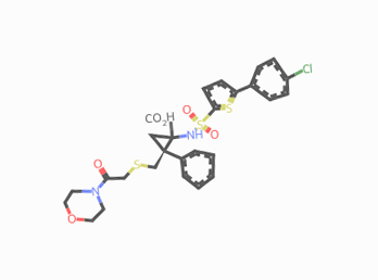 O=C(CSC[C@@]1(c2ccccc2)CC1(NS(=O)(=O)c1ccc(-c2ccc(Cl)cc2)s1)C(=O)O)N1CCOCC1